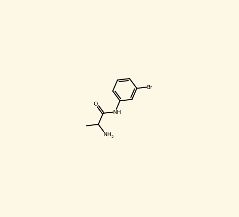 CC(N)C(=O)Nc1cccc(Br)c1